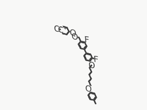 [CH2-][C+]1CCC(OOCc2ccc(-c3ccc(OCCCCCCOc4ccc(C)cc4)c(F)c3)cc2F)CC1